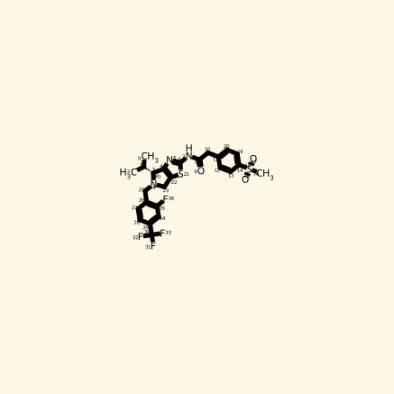 CC(C)[C@@H]1c2nc(NC(=O)Cc3ccc(S(C)(=O)=O)cc3)sc2CN1Cc1ccc(C(F)(F)F)cc1F